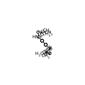 CC(C)(C)OC(=O)N1CCCC1c1nc(-c2ccc(-c3ccc(-c4noc([C@@H]5CCCN5C(=O)OC(C)(C)C)n4)cc3)cc2)c[nH]1